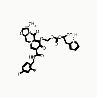 C[C@H]1COC2Cn3cc(C(=O)NCc4ccc(F)cc4F)c(=O)c(OCOC(=O)OC(Cc4ccccn4)C(=O)O)c3C(=O)N21